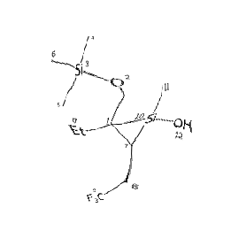 CCC1(O[Si](C)(C)C)C(CC(F)(F)F)[Si]1(C)O